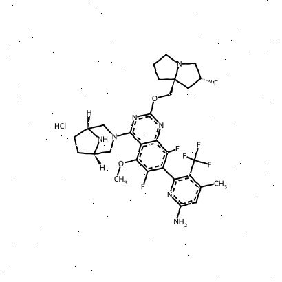 COc1c(F)c(-c2nc(N)cc(C)c2C(F)(F)F)c(F)c2nc(OC[C@@]34CCCN3C[C@H](F)C4)nc(N3C[C@H]4CC[C@@H](C3)N4)c12.Cl